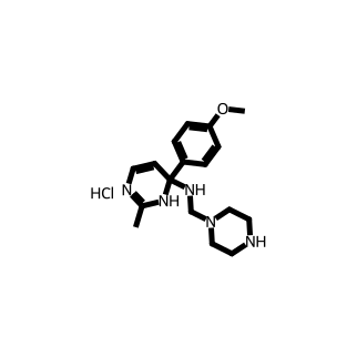 COc1ccc(C2(NCN3CCNCC3)C=CN=C(C)N2)cc1.Cl